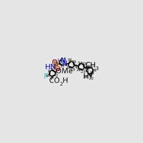 COc1cc(C(=O)O)c(F)cc1NS(=O)(=O)c1cnn(-c2ccc(-c3ccc([C@@]4(C)CC=C5C[C@@H]5C4)cc3)cc2)c1